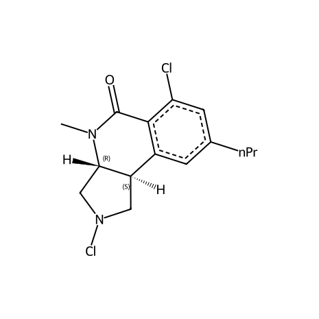 CCCc1cc(Cl)c2c(c1)[C@H]1CN(Cl)C[C@@H]1N(C)C2=O